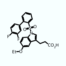 CCOc1ccc2c(c1)c(CCC(=O)O)cn2S(=O)(=O)c1ccccc1-c1ccc(F)c(F)c1